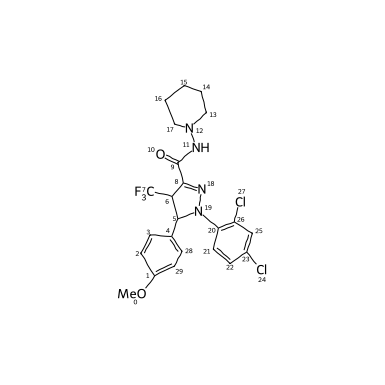 COc1ccc(C2C(C(F)(F)F)C(C(=O)NN3CCCCC3)=NN2c2ccc(Cl)cc2Cl)cc1